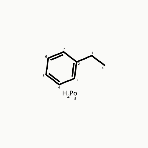 CCc1ccccc1.[PoH2]